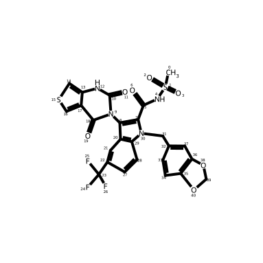 CS(=O)(=O)NC(=O)c1c(-n2c(=O)[nH]c3cscc3c2=O)c2cc(C(F)(F)F)ccc2n1Cc1ccc2c(c1)OCO2